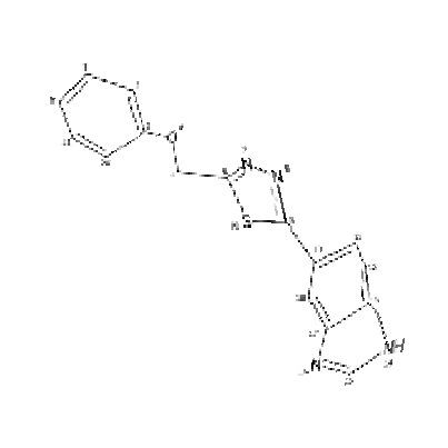 c1ccc(OCc2nnc(-c3ccc4[nH]cnc4c3)s2)cc1